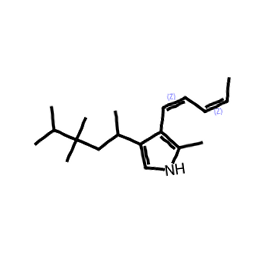 C/C=C\C=C/c1c(C(C)CC(C)(C)C(C)C)c[nH]c1C